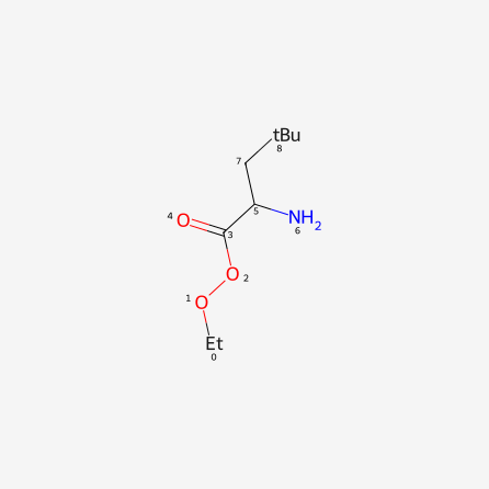 CCOOC(=O)C(N)CC(C)(C)C